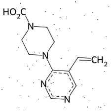 C=Cc1cncnc1N1CCN(C(=O)O)CC1